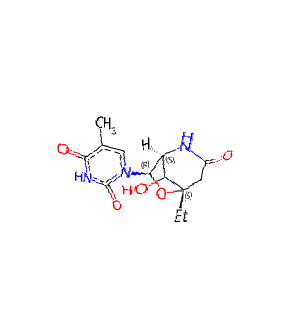 CC[C@]12CC(=O)N[C@@H](C1O)[C@H](n1cc(C)c(=O)[nH]c1=O)O2